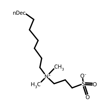 CCCCCCCCCCCCCCCC[N+](C)(C)CCCS(=O)(=O)[O-]